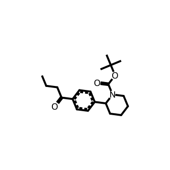 CCCC(=O)c1ccc(C2CCCCN2C(=O)OC(C)(C)C)cc1